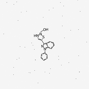 OCN1NC=C(c2nn(-c3ccccc3)c3ccccc23)S1